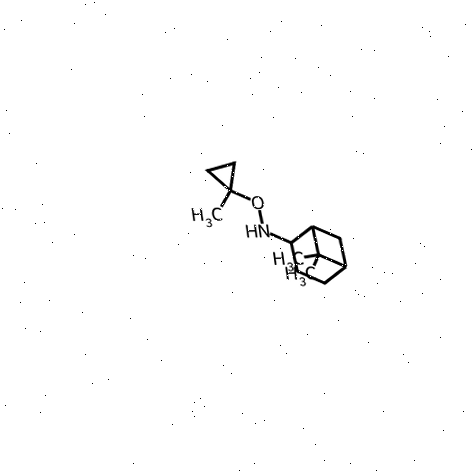 CC1(ONC2CCC3CC2C3(C)C)CC1